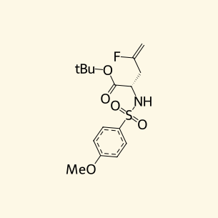 C=C(F)C[C@H](NS(=O)(=O)c1ccc(OC)cc1)C(=O)OC(C)(C)C